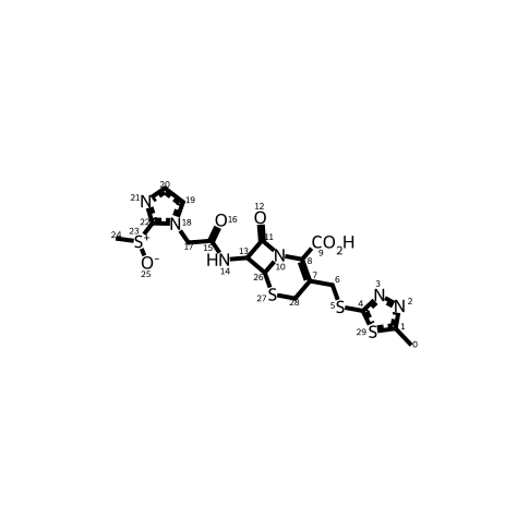 Cc1nnc(SCC2=C(C(=O)O)N3C(=O)C(NC(=O)Cn4ccnc4[S+](C)[O-])C3SC2)s1